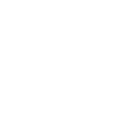 COC(=O)C1C(=O)c2ccccc2SN1C